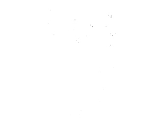 CCOC(=O)c1ccc(-c2ccc3nc(N)nc(NC4CCCCC4)c3c2)cc1